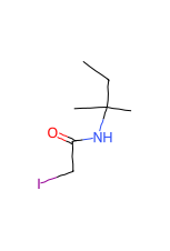 CCC(C)(C)NC(=O)CI